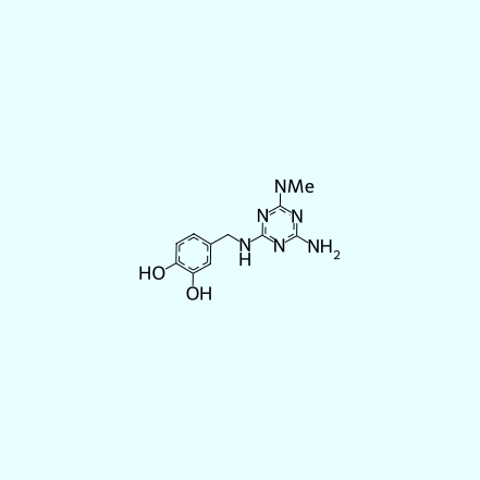 CNc1nc(N)nc(NCc2ccc(O)c(O)c2)n1